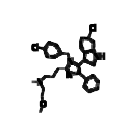 COCCN(C)CCCc1nc(-c2ccccc2)c(-c2c[nH]c3cc(Cl)ccc23)n1Cc1ccc(Cl)cc1